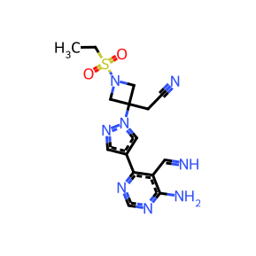 CCS(=O)(=O)N1CC(CC#N)(n2cc(-c3ncnc(N)c3C=N)cn2)C1